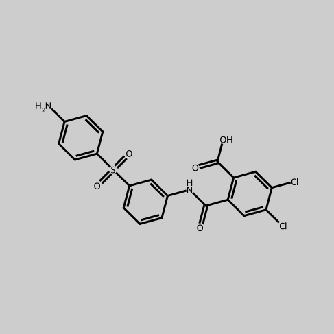 Nc1ccc(S(=O)(=O)c2cccc(NC(=O)c3cc(Cl)c(Cl)cc3C(=O)O)c2)cc1